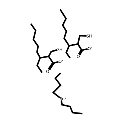 CCCCCC(CC)C(CS)C(=O)[O-].CCCCCC(CC)C(CS)C(=O)[O-].CCC[CH2][Sn+2][CH2]CCC